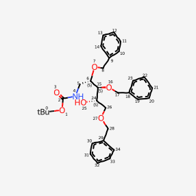 CC(C)(C)OC(=O)NC[C@H](OCc1ccccc1)[C@@H](OCc1ccccc1)[C@@H](O)COCc1ccccc1